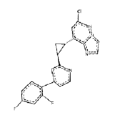 Fc1ccc(-c2ccnc([C@H]3C[C@@H]3c3cc(Cl)nn4ccnc34)c2)c(F)c1